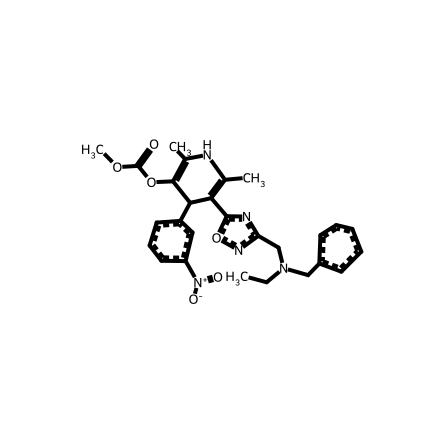 CCN(Cc1ccccc1)Cc1noc(C2=C(C)NC(C)=C(OC(=O)OC)C2c2cccc([N+](=O)[O-])c2)n1